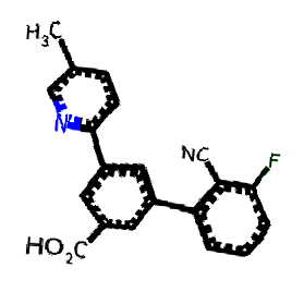 Cc1ccc(-c2cc(C(=O)O)cc(-c3cccc(F)c3C#N)c2)nc1